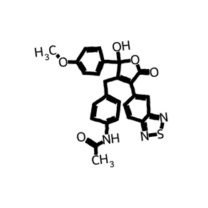 COc1ccc(C2(O)OC(=O)C(c3ccc4nsnc4c3)=C2Cc2ccc(NC(C)=O)cc2)cc1